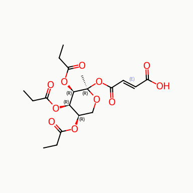 CCC(=O)O[C@H]1[C@@H](OC(=O)CC)[C@@](C)(OC(=O)/C=C/C(=O)O)OC[C@H]1OC(=O)CC